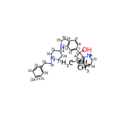 C[Si](C)(C)CC(O)(c1ccc2c(c1)N(C1CCN(CCc3ccc(F)cc3)CC1)CC2)c1ccccn1